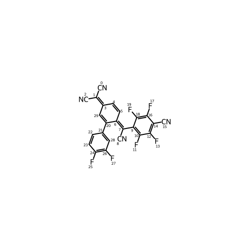 N#CC(C#N)=c1cc/c(=C(/C#N)c2c(F)c(F)c(C#N)c(F)c2F)c(-c2ccc(F)c(F)c2)c1